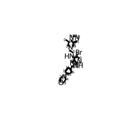 CCCN(CCNc1c(Br)cnc2[nH]c(-c3ccc(N4CCOCC4)cc3)nc12)Cc1cncnc1